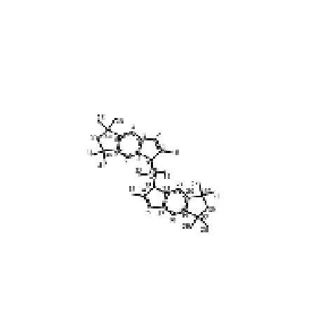 CC1=Cc2cc3c(cc2C1[Si](C)(C)C1C(C)=Cc2cc4c(cc21)C(C)(C)CC4(C)C)C(C)(C)CC3(C)C